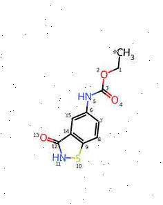 CCOC(=O)Nc1ccc2s[nH]c(=O)c2c1